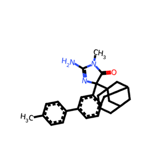 Cc1ccc(-c2cccc(C3(C45CC6CC(CC(C6)C4)C5)N=C(N)N(C)C3=O)c2)cc1